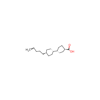 C=CCCC[C@H]1CC[C@H]([C@H]2CC[C@H](C(=O)O)CC2)CC1